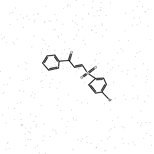 O=C(/C=C/S(=O)(=O)c1ccc(Br)cc1)c1ccccc1